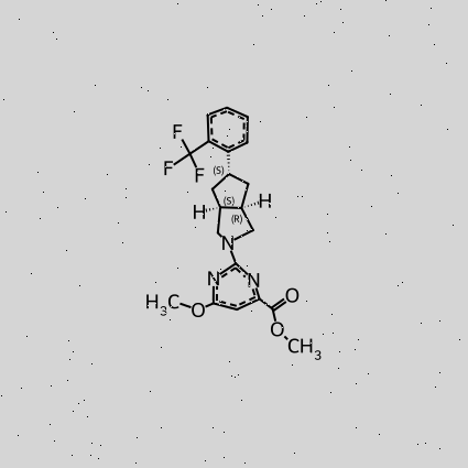 COC(=O)c1cc(OC)nc(N2C[C@H]3C[C@H](c4ccccc4C(F)(F)F)C[C@H]3C2)n1